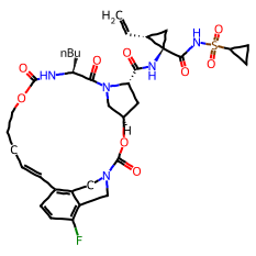 C=C[C@@H]1C[C@]1(NC(=O)[C@@H]1C[C@@H]2CN1C(=O)[C@H](CCCC)NC(=O)OCCC/C=C/c1ccc(F)c3c1CN(C3)C(=O)O2)C(=O)NS(=O)(=O)C1CC1